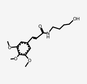 COc1cc(C=CC(=O)NCCCCO)cc(OC)c1OC